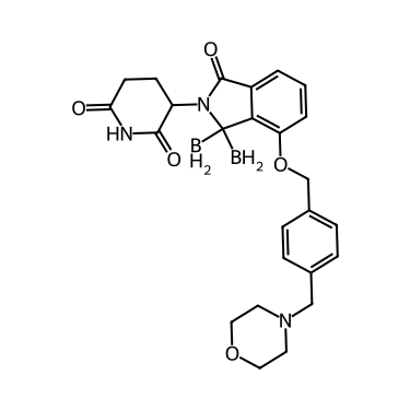 BC1(B)c2c(OCc3ccc(CN4CCOCC4)cc3)cccc2C(=O)N1C1CCC(=O)NC1=O